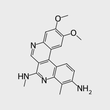 CNc1nc2c(C)c(N)ccc2c2c1cnc1cc(OC)c(OC)cc12